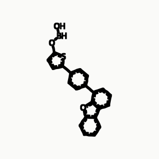 OBOc1ccc(-c2ccc(-c3cccc4c3oc3ccccc34)cc2)s1